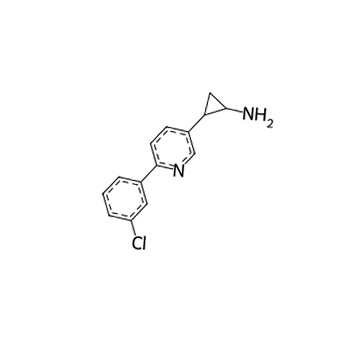 NC1CC1c1ccc(-c2cccc(Cl)c2)nc1